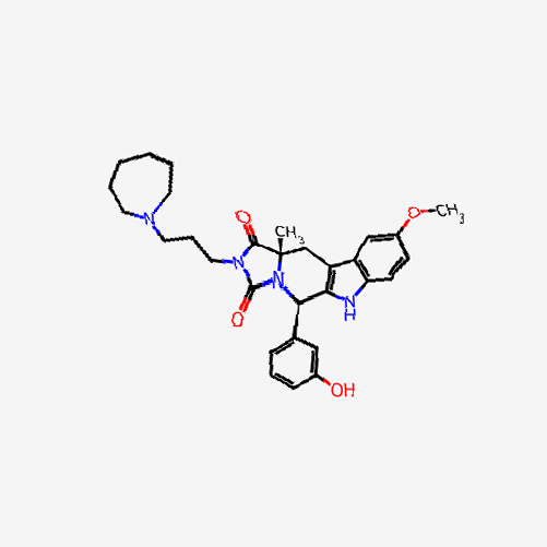 COc1ccc2[nH]c3c(c2c1)C[C@@]1(C)C(=O)N(CCCN2CCCCCC2)C(=O)N1[C@@H]3c1cccc(O)c1